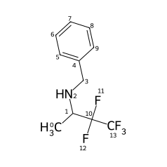 CC(NCc1ccccc1)C(F)(F)C(F)(F)F